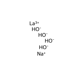 [La+3].[Na+].[OH-].[OH-].[OH-].[OH-]